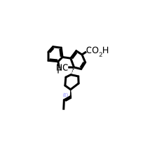 C/C=C/[C@H]1CC[C@H](C2(C#N)C=CC(C(=O)O)C=C2c2ccccc2F)CC1